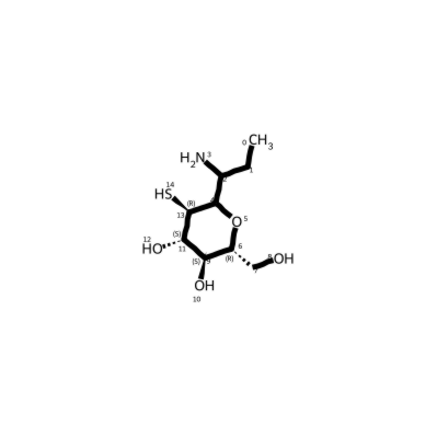 CCC(N)C1O[C@H](CO)[C@@H](O)[C@H](O)[C@H]1S